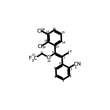 N#Cc1ccccc1/C(I)=C(\OCC(F)(F)F)c1cccc(Cl)c1Cl